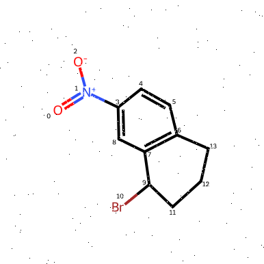 O=[N+]([O-])c1ccc2c(c1)C(Br)CCC2